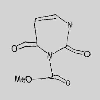 COC(=O)N1C(=O)C=C[N]C1=O